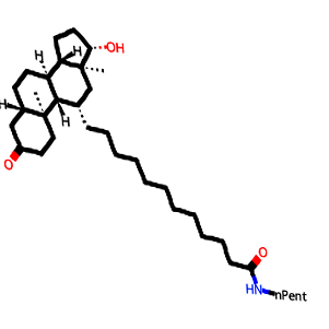 CCCCCNC(=O)CCCCCCCCCCC[C@H]1C[C@]2(C)[C@@H](O)CC[C@H]2[C@@H]2CC[C@H]3CC(=O)CC[C@]3(C)[C@@H]12